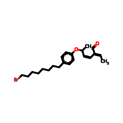 C/C=C(C=O)\C=C/C(C)Oc1ccc(CCCCCCCCBr)cc1